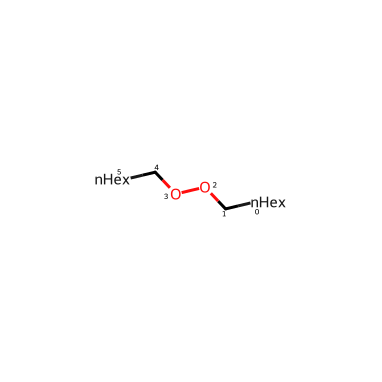 CCCCCCCOOCCCCCCC